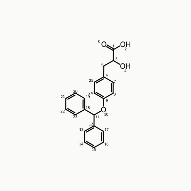 O=C(O)C(O)Cc1ccc(OC(c2ccccc2)c2ccccc2)cc1